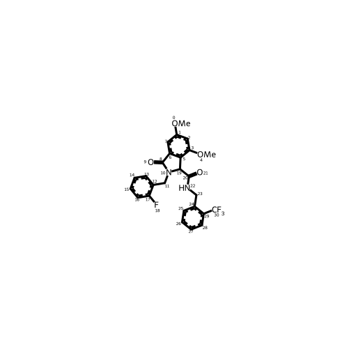 COc1cc(OC)c2c(c1)C(=O)N(Cc1ccccc1F)C2C(=O)NCc1ccccc1C(F)(F)F